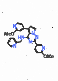 COc1ccc(-c2nc(NCc3ccccn3)c3c(-c4ccnc(OC)c4)ccn3n2)cn1